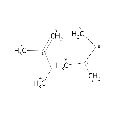 C=C(C)CC.CCC(C)C